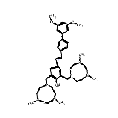 COc1cc(OC)cc(-c2ccc(/C=C/c3cc(CN4CCN(C)CCN(C)CC4)c(O)c(CN4CCN(C)CCN(C)CC4)c3)cc2)c1